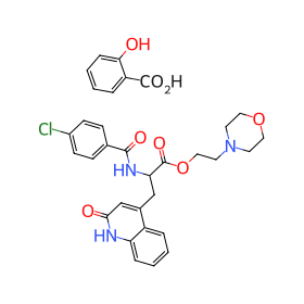 O=C(NC(Cc1cc(=O)[nH]c2ccccc12)C(=O)OCCN1CCOCC1)c1ccc(Cl)cc1.O=C(O)c1ccccc1O